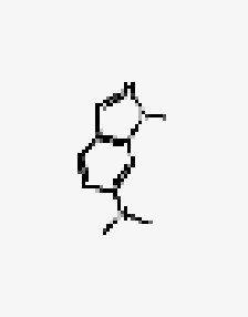 CN(C)c1ccc2cnn(C)c2c1